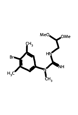 COC(CNC(=N)N(C)c1cc(C)c(Br)c(C)c1)OC